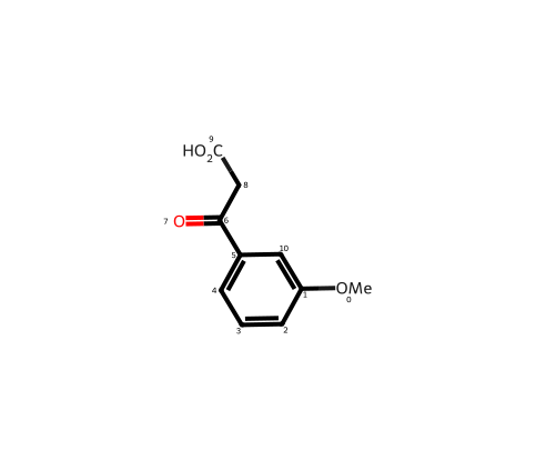 COc1cccc(C(=O)CC(=O)O)c1